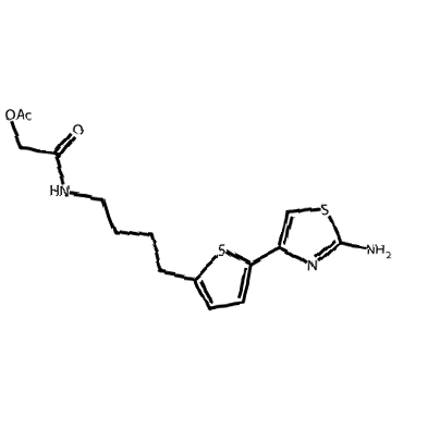 CC(=O)OCC(=O)NCCCCc1ccc(-c2csc(N)n2)s1